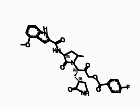 COc1cccc2[nH]c(C(=O)N[C@H]3CC(C)N([C@@H](C[C@@H]4CCNC4=O)C(=O)COC(=O)c4ccc(F)cc4)C3=O)cc12